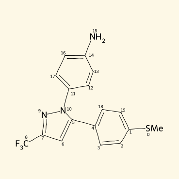 CSc1ccc(-c2cc(C(F)(F)F)nn2-c2ccc(N)cc2)cc1